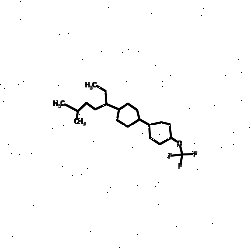 CCC(CCC(C)C)C1CCC(C2CCC(OC(F)(F)F)CC2)CC1